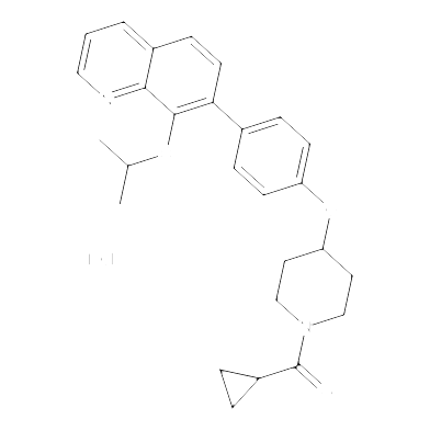 CC(C)Oc1c(-c2ccc(OC3CCN(C(=O)C4CC4)CC3)cc2)ccc2cccnc12.Cl